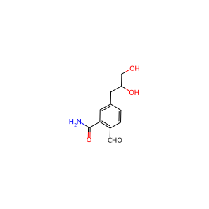 NC(=O)c1cc(CC(O)CO)ccc1C=O